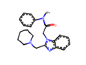 CC(C)N(C(=O)Cn1c(CN2CCCCC2)nc2ccccc21)c1ccccc1